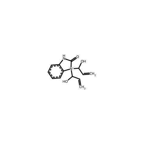 C=CC(O)[N+]1(C(O)C=C)C(=O)Nc2ccccc21